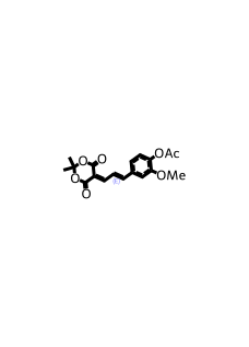 COc1cc(/C=C/C=C2C(=O)OC(C)(C)OC2=O)ccc1OC(C)=O